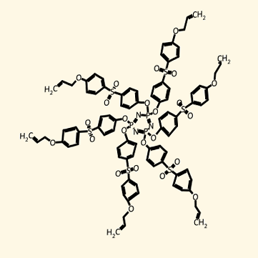 C=CCOc1ccc(S(=O)(=O)c2ccc(OP3(Oc4ccc(S(=O)(=O)c5ccc(OCC=C)cc5)cc4)=NP(Oc4ccc(S(=O)(=O)c5ccc(OCC=C)cc5)cc4)(Oc4ccc(S(=O)(=O)c5ccc(OCC=C)cc5)cc4)=NP(Oc4ccc(S(=O)(=O)c5ccc(OCC=C)cc5)cc4)(Oc4ccc(S(=O)(=O)c5ccc(OCC=C)cc5)cc4)=N3)cc2)cc1